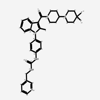 Cc1c(C(=O)N2CCC(N3CCC(F)(F)CC3)CC2)c2ccccc2n1-c1ccc(NC(=O)NCc2cccnc2)cc1